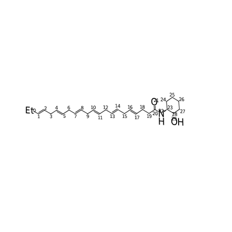 CCC=CCC=CCC=CCC=CCC=CCC=CCCC(=O)N[C@H]1CCCC[C@@H]1O